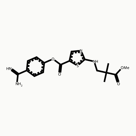 COC(=O)C(C)(C)CNc1ncc(C(=O)Oc2ccc(C(=N)N)cc2)s1